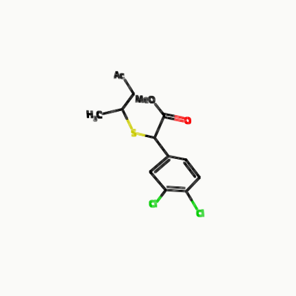 COC(=O)C(SC(C)CC(C)=O)c1ccc(Cl)c(Cl)c1